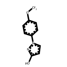 Oc1ccn(-c2ccc(OC(F)(F)F)cc2)n1